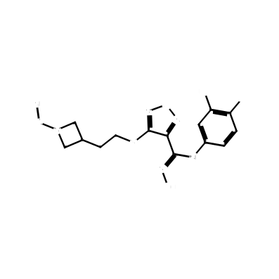 NSN1CC(CCNc2nonc2/C(=N/O)Nc2ccc(F)c(Br)c2)C1